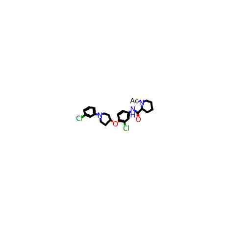 CC(=O)N1CCCCC1C(=O)Nc1ccc(OC2CCN(c3cccc(Cl)c3)CC2)c(Cl)c1